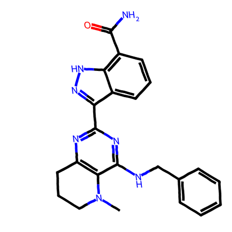 CN1CCCc2nc(-c3n[nH]c4c(C(N)=O)cccc34)nc(NCc3ccccc3)c21